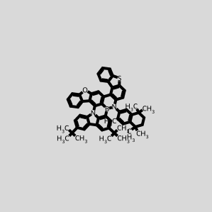 Cc1cc2c(cc1N1B3c4c(cc5oc6ccccc6c5c4-n4c5ccc(C(C)(C)C)cc5c5cc(C(C)(C)C)cc3c54)-c3c1ccc1sc4ccccc4c31)C(C)(C)CCC2(C)C